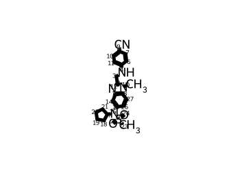 Cn1c(CNc2ccc(C#N)cc2)nc2cc(N(C3CCCC3)S(C)(=O)=O)ccc21